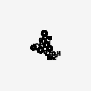 CC(=O)OCCOc1ccc(-n2cccn2)c([C@H](C)Oc2cc3cc(C(=O)O)ccc3nc2N2C(=O)c3ccccc3C2=O)n1